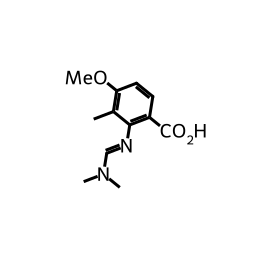 COc1ccc(C(=O)O)c(N=CN(C)C)c1C